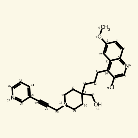 COc1ccc2ncc(Cl)c(CCCC3(CO)CCN(CC#Cc4cccnc4)CC3)c2c1